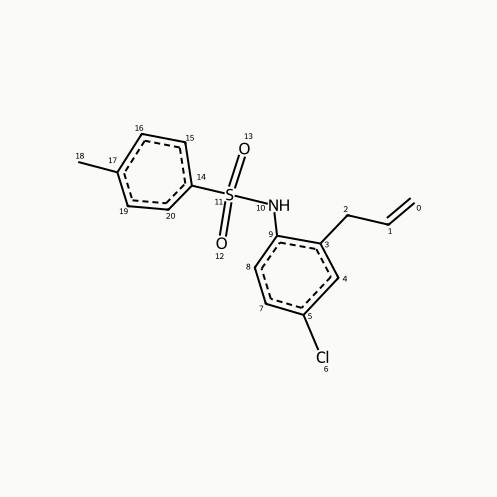 C=CCc1cc(Cl)ccc1NS(=O)(=O)c1ccc(C)cc1